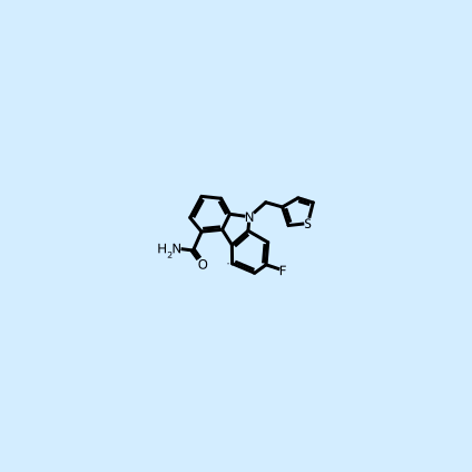 NC(=O)c1cccc2c1c1[c]cc(F)cc1n2Cc1ccsc1